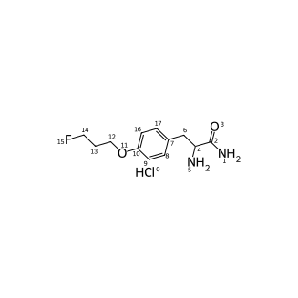 Cl.NC(=O)C(N)Cc1ccc(OCCCF)cc1